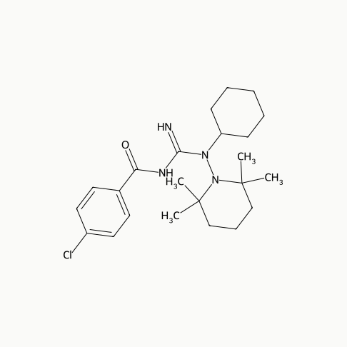 CC1(C)CCCC(C)(C)N1N(C(=N)NC(=O)c1ccc(Cl)cc1)C1CCCCC1